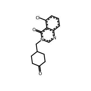 O=C1CCC(Cn2cnc3cccc(Cl)c3c2=O)CC1